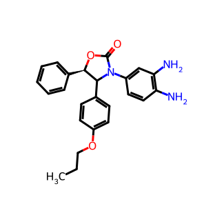 CCCOc1ccc(C2[C@@H](c3ccccc3)OC(=O)N2c2ccc(N)c(N)c2)cc1